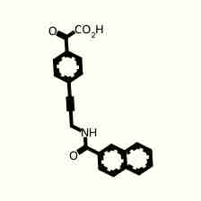 O=C(O)C(=O)c1ccc(C#CCNC(=O)c2ccc3ccccc3c2)cc1